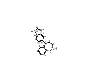 c1ccc2c(c1)CNCC[C@@H]2c1ccc2[nH]ccc2c1